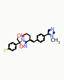 Cn1cncc1-c1ccc(/C=C2\CCCN3C2=NOC3(CO)c2ccc(F)cc2)cc1